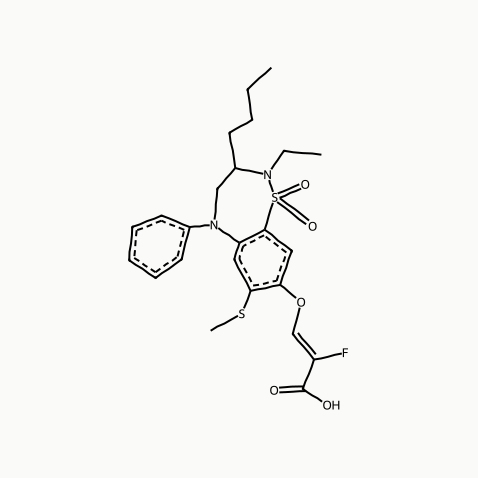 CCCCC1CN(c2ccccc2)c2cc(SC)c(O/C=C(\F)C(=O)O)cc2S(=O)(=O)N1CC